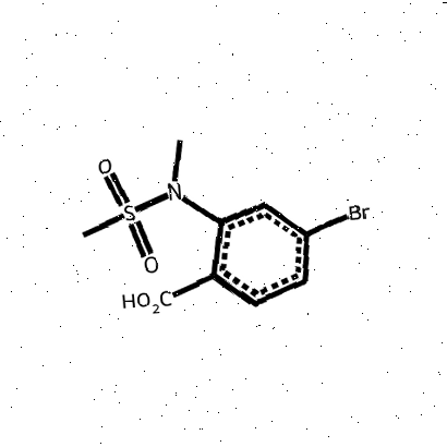 CN(c1cc(Br)ccc1C(=O)O)S(C)(=O)=O